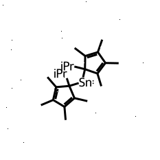 CC1=C(C)[C]([Sn][C]2(C(C)C)C(C)=C(C)C(C)=C2C)(C(C)C)C(C)=C1C